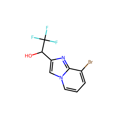 OC(c1cn2cccc(Br)c2n1)C(F)(F)F